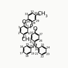 Cc1ccc2c(c1)P(Oc1ccc(N(c3ccccc3)c3ccccc3)cc1)c1cc(C)ccc1O2